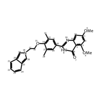 COc1cc(OC)c2c(=O)[nH]c(-c3cc(C)c(OCCn4cc5ccccc5c4)c(C)c3)nc2c1